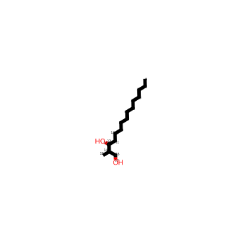 CCCCCCCCCCCCC(O)C(C)CO